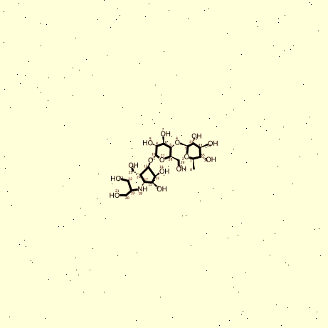 C[C@H]1O[C@@H](O[C@H]2[C@H](O)[C@@H](O)[C@@H](O[C@H]3[C@@H](O)[C@@H](O)[C@H](NC(CO)CO)[C@@H]3CO)O[C@@H]2CO)[C@H](O)[C@@H](O)[C@@H]1O